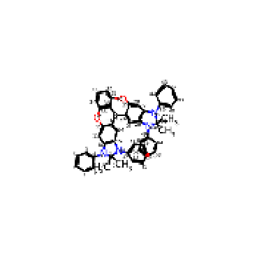 CC1(C)N(c2ccccc2)c2cc3c(cc2N1c1ccccc1)B1c2cc4c(cc2Oc2cccc(c21)O3)N(c1ccccc1)C(C)(C)N4c1ccccc1